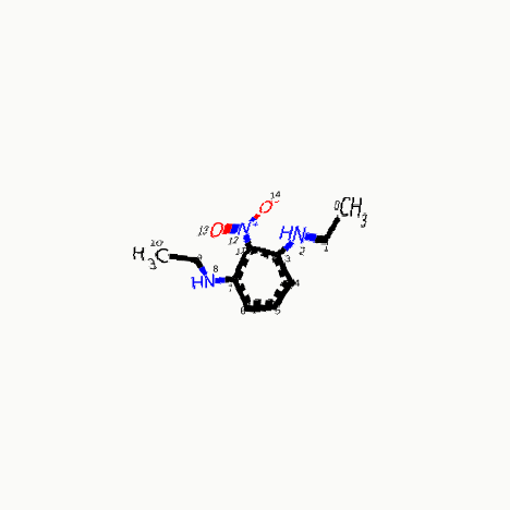 CCNc1cccc(NCC)c1[N+](=O)[O-]